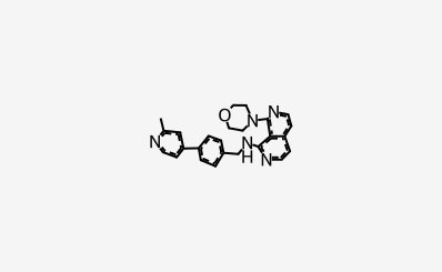 Cc1cc(-c2ccc(CNc3nccc4ccnc(N5CCOCC5)c34)cc2)ccn1